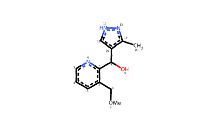 COCc1cccnc1C(O)c1c[nH]nc1C